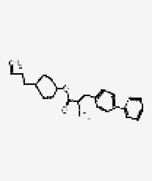 C=CCCC1CCC(OC(=O)C(C)=Cc2ccc(-c3ccccc3)cc2)CC1